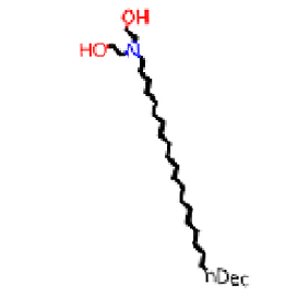 CCCCCCCCCCCCCCCCCCCCCCCCCCCCC=CN(CCO)CCO